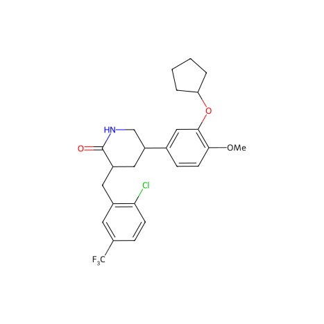 COc1ccc(C2CNC(=O)C(Cc3cc(C(F)(F)F)ccc3Cl)C2)cc1OC1CCCC1